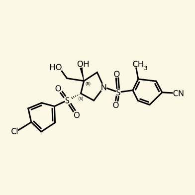 Cc1cc(C#N)ccc1S(=O)(=O)N1C[C@H](S(=O)(=O)c2ccc(Cl)cc2)[C@](O)(CO)C1